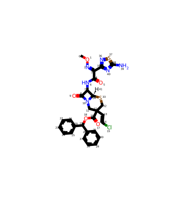 CON=C(C(=O)NC1C(=O)N2CC(C=CCl)(C(=O)OC(c3ccccc3)c3ccccc3)CS[C@H]12)c1nsc(N)n1